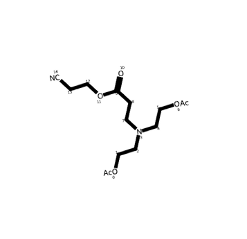 CC(=O)OCCN(CCOC(C)=O)CCC(=O)OCCC#N